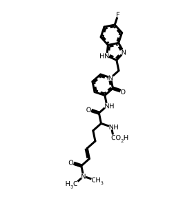 CN(C)C(=O)C=CCCC(NC(=O)O)C(=O)Nc1cccn(Cc2nc3cc(F)ccc3[nH]2)c1=O